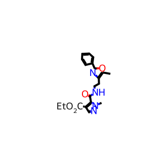 CCOC(=O)c1cnn(C)c1C(=O)NCCc1nc(-c2ccccc2)oc1C